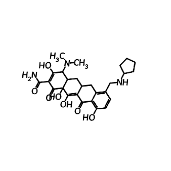 CN(C)C1C(O)=C(C(N)=O)C(=O)C2(O)C(O)=C3C(=O)c4c(O)ccc(CNC5CCCC5)c4CC3CC12